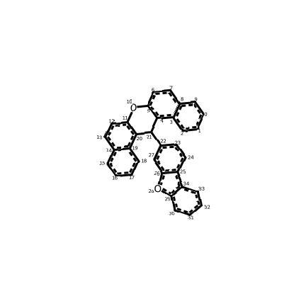 c1ccc2c3c(ccc2c1)Oc1ccc2ccccc2c1C3c1ccc2c(c1)oc1ccccc12